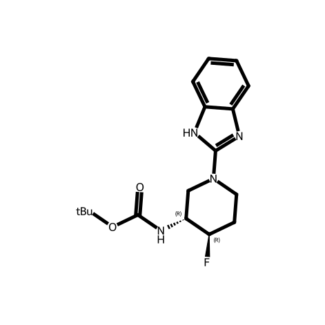 CC(C)(C)OC(=O)N[C@@H]1CN(c2nc3ccccc3[nH]2)CC[C@H]1F